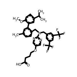 COc1ccc(C(C)C)cc1-c1cc(C)ccc1CN(Cc1cc(C(F)(F)F)cc(C(F)(F)F)c1)c1ncc(OCCCC(=O)O)cn1